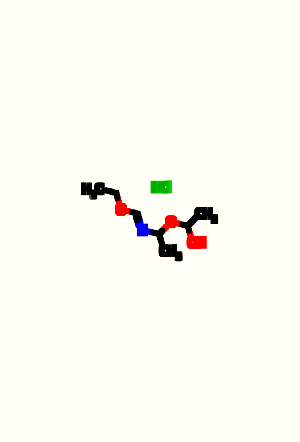 CCOC=NC(C)OC(C)O.Cl